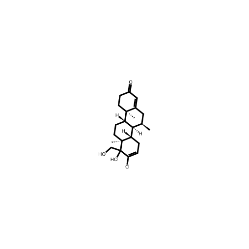 C[C@@H]1CC2=CC(=O)CC[C@]2(C)[C@H]2CC[C@@]3(C)[C@@H](CC=C(Cl)C3(O)CO)[C@H]12